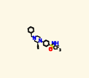 C#C[C@H]1CN(Cc2ccccc2)CCN1c1ccc(S(=N)(=O)C(F)(F)F)cc1